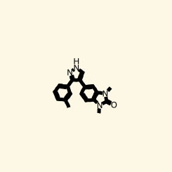 Cc1cccc(-c2n[nH]cc2-c2ccc3c(c2)n(C)c(=O)n3C)c1